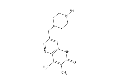 [2H]N1CCN(Cc2cnc3c(C)c(C)c(=O)[nH]c3c2)CC1